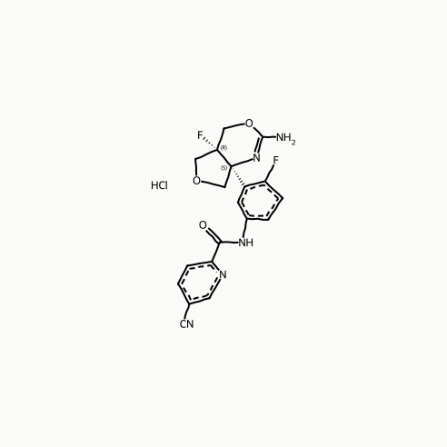 Cl.N#Cc1ccc(C(=O)Nc2ccc(F)c([C@]34COC[C@@]3(F)COC(N)=N4)c2)nc1